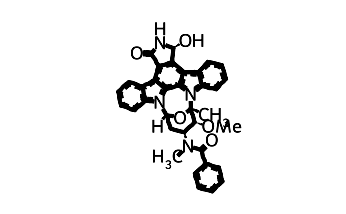 CO[C@@H]1[C@H](N(C)C(=O)c2ccccc2)C[C@H]2O[C@]1(C)n1c3ccccc3c3c4c(c5c6ccccc6n2c5c31)C(=O)N[C@@H]4O